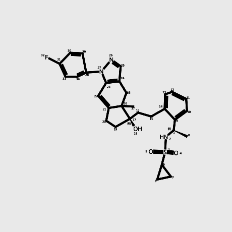 C[C@@H](NS(=O)(=O)C1CC1)c1ccccc1CC[C@]1(O)CCC2=Cc3c(cnn3-c3ccc(F)cc3)CC21C